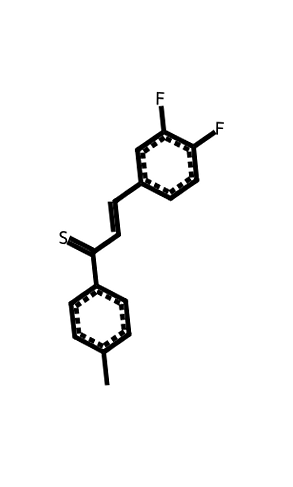 Cc1ccc(C(=S)C=Cc2ccc(F)c(F)c2)cc1